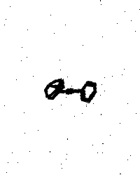 C(#CC12CC3CC(CC(C3)C1)C2)c1ccccc1